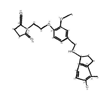 COc1cc(CNC2CCc3c2ccc(Cl)c3C)ccc1OCCN1C(=O)CCC1=O